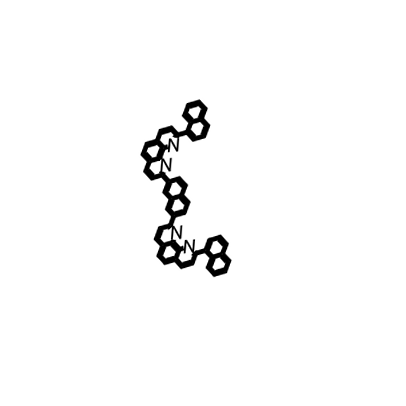 c1ccc2c(-c3ccc4ccc5ccc(-c6ccc7ccc(-c8ccc9ccc%10ccc(-c%11cccc%12ccccc%11%12)nc%10c9n8)cc7c6)nc5c4n3)cccc2c1